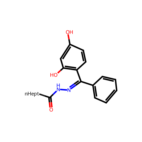 CCCCCCCC(=O)NN=C(c1ccccc1)c1ccc(O)cc1O